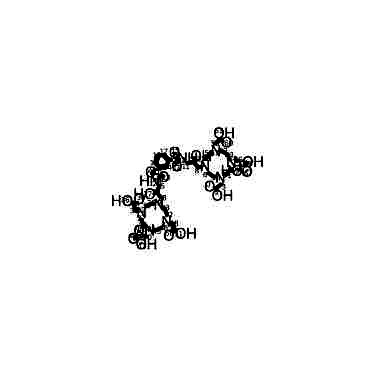 O=C(O)CN1CCN(CC(O)CNS(=O)(=O)c2cccc(S(=O)(=O)NCC(O)CN3CCN(CC(=O)O)CCN(CP(=O)(O)O)CCN(CC(=O)O)CC3)c2)CCN(CC(=O)O)CCN(CP(=O)(O)O)CC1